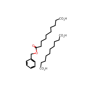 O=C(O)CCCCCCCCC(=O)O.O=C(O)CCCCCCCCC(=O)OCc1ccccc1